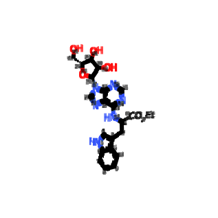 CCOC(=O)[C@@H](Cc1c[nH]c2ccccc12)Nc1ncnc2c1ncn2[C@@H]1O[C@H](CO)C(O)C1O